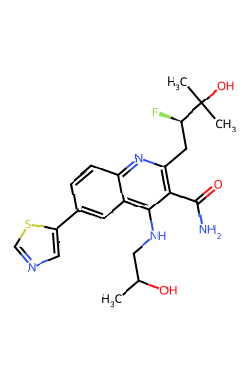 CC(O)CNc1c(C(N)=O)c(C[C@@H](F)C(C)(C)O)nc2ccc(-c3cncs3)cc12